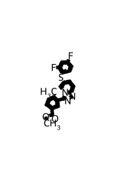 COC(=O)c1ccc(C)c(-c2nnc3ccc(Sc4ccc(F)cc4F)cn23)c1